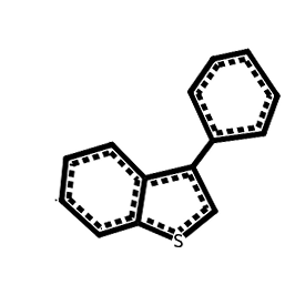 [c]1ccc2c(-c3ccccc3)csc2c1